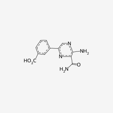 NC(=O)c1nc(-c2cccc(C(=O)O)c2)cnc1N